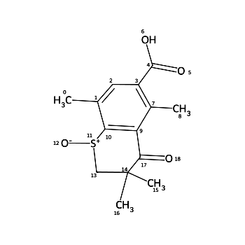 Cc1cc(C(=O)O)c(C)c2c1[S+]([O-])CC(C)(C)C2=O